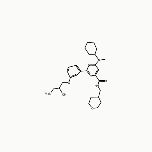 CNCC(O)COc1cccc(-c2nc(C(=O)NCC3CCOCC3)cc(N(C)C3CCCCC3)n2)c1